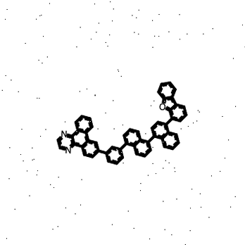 c1cc(-c2ccc3c(c2)c2ccccc2c2nccnc32)cc(-c2cccc3c(-c4ccc(-c5cccc6c5oc5ccccc56)c5ccccc45)cccc23)c1